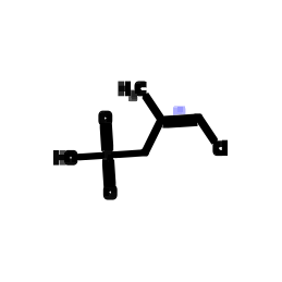 C/C(=C/Cl)CS(=O)(=O)O